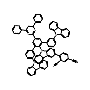 N#Cc1ccc(-c2ccc3c(c2)c2ccccc2n3-c2c(-c3cccc(-n4c5ccccc5c5ccccc54)c3)cc(-c3nc(-c4ccccc4)cc(-c4ccccc4)n3)cc2-c2cccc(-n3c4ccccc4c4ccccc43)c2)c(C#N)c1